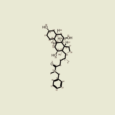 C[C@H](CCC(=O)N(C)Cc1ccccc1)[C@H]1CC[C@H]2[C@@H]3[C@H](O)C[C@@H]4C[C@H](O)CC[C@]4(C)[C@H]3C[C@H](O)[C@]12C